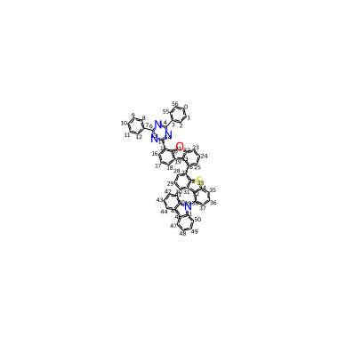 c1ccc(-c2nc(-c3ccccc3)nc(-c3cccc4c3oc3cccc(-c5cccc6c5sc5cccc(-n7c8ccccc8c8ccccc87)c56)c34)n2)cc1